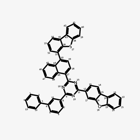 c1ccc(-c2cccc(-c3nc(-c4ccc5c(c4)oc4ccccc45)nc(-c4ccc(-c5cccc6c5sc5ccccc56)c5ccccc45)n3)c2)cc1